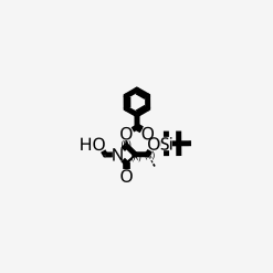 C[C@@H](O[Si](C)(C)C(C)(C)C)[C@H]1C(=O)N(CO)[C@@H]1OC(=O)c1ccccc1